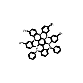 CC(C)c1ccc2c(c1)N1c3cc(C(C)C)ccc3B3c4c5c6c7c(c41)B2c1ccc(C(C)C)cc1N7c1cc(C(C)C)ccc1B6N(c1ccccc1)c1cccc(c1-5)N3c1ccccc1